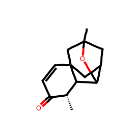 C[C@@H]1C(=O)C=CC23CC4CC(C)(C2)OC4C13